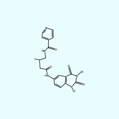 CCn1c(=O)c2cc(NC(=O)CC(C)CNC(=O)c3ccncc3)ccc2n(CC)c1=O